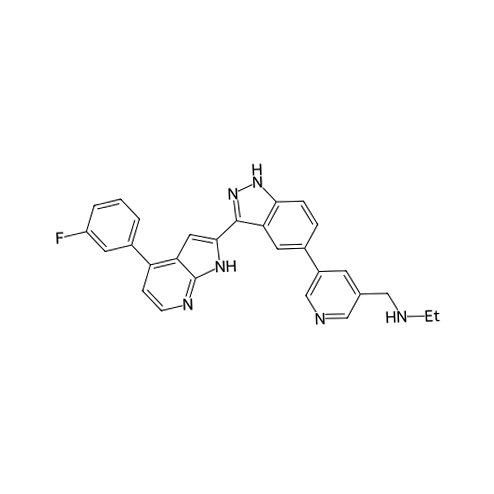 CCNCc1cncc(-c2ccc3[nH]nc(-c4cc5c(-c6cccc(F)c6)ccnc5[nH]4)c3c2)c1